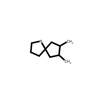 CC1CC2(CCC[N]2)CC1C